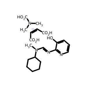 CN(C)C(=O)O.CN(C=Nc1ncccc1O)C1CCCCC1.O=C(O)/C=C\C(=O)O